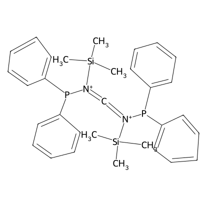 C[Si](C)(C)[N+](=C=[N+](P(c1ccccc1)c1ccccc1)[Si](C)(C)C)P(c1ccccc1)c1ccccc1